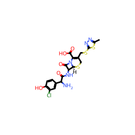 Cc1nnc(SCC2=C(C(=O)O)N3C(=O)C(NC(=O)C(N)c4ccc(O)c(Cl)c4)[C@@H]3SC2)s1